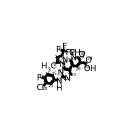 Cc1cc(C(F)(F)F)nn1-c1nc(Nc2ccc(F)c(Cl)c2)ncc1-c1cc(C(=O)O)c(=O)n(C)c1